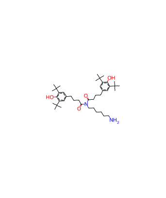 CC(C)(C)c1cc(CCCC(=O)N(CCCCCCN)C(=O)CCCc2cc(C(C)(C)C)c(O)c(C(C)(C)C)c2)cc(C(C)(C)C)c1O